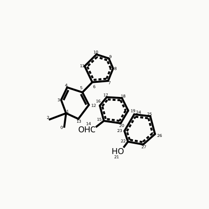 CC1(C)C=CC(c2ccccc2)=CC1.O=Cc1ccccc1.Oc1ccccc1